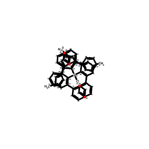 Cc1cc(-c2ccccc2)c([Si](Cl)(c2c(-c3ccccc3)cc(C)cc2-c2ccccc2)c2c(-c3ccccc3)cc(C)cc2-c2ccccc2)c(-c2ccccc2)c1